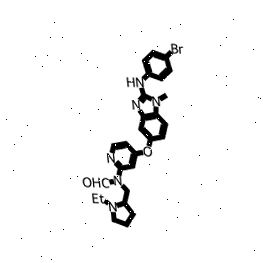 CCN1CCCC1CN(C=O)c1cc(Oc2ccc3c(c2)nc(Nc2ccc(Br)cc2)n3C)ccn1